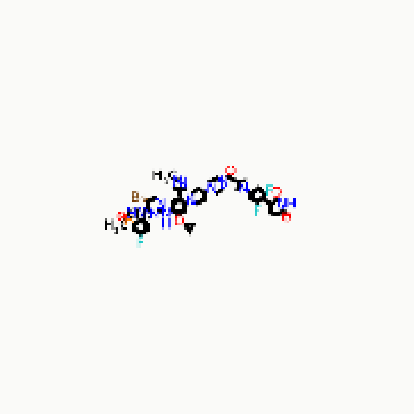 Cn1cc(-c2cc(Nc3ncc(Br)c(Nc4ccc(F)cc4P(C)(C)=O)n3)c(OC3CC3)cc2N2CCC(N3CCN(C(=O)C4CN(c5cc(F)c(C6CCC(=O)NC6=O)c(F)c5)C4)CC3)CC2)cn1